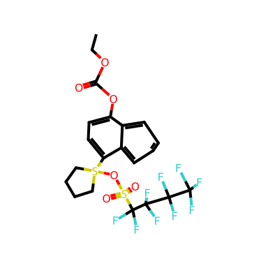 CCOC(=O)Oc1ccc(S2(OS(=O)(=O)C(F)(F)C(F)(F)C(F)(F)C(F)(F)F)CCCC2)c2ccccc12